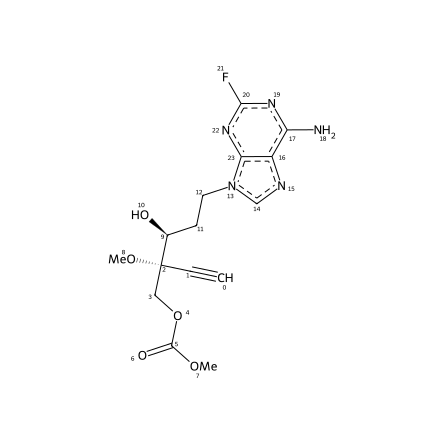 C#C[C@](COC(=O)OC)(OC)[C@@H](O)CCn1cnc2c(N)nc(F)nc21